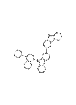 c1ccc(-c2ccc(-n3c4ccccc4c4ccc(-c5ccc6sc7ccccc7c6c5)cc43)c3ccccc23)cc1